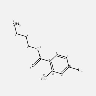 O=C(OCCC[SiH3])c1ccc(I)cc1O